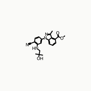 COC(=O)c1cccc2c1c(C)nn2-c1ccc(C#N)c(NCC(C)(C)O)c1